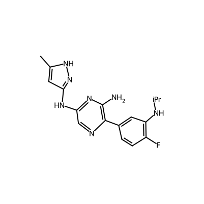 Cc1cc(Nc2cnc(-c3ccc(F)c(NC(C)C)c3)c(N)n2)n[nH]1